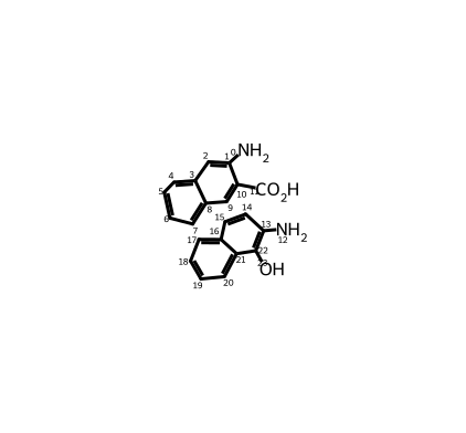 Nc1cc2ccccc2cc1C(=O)O.Nc1ccc2ccccc2c1O